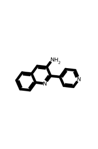 Nc1cc2ccccc2nc1-c1ccncc1